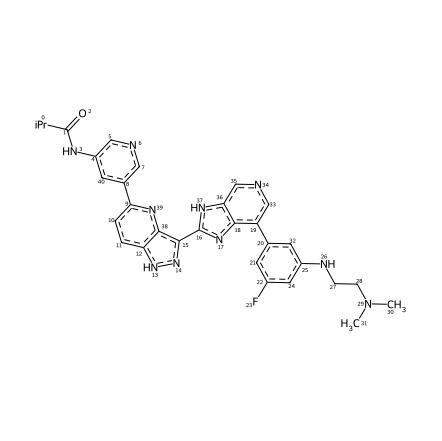 CC(C)C(=O)Nc1cncc(-c2ccc3[nH]nc(-c4nc5c(-c6cc(F)cc(NCCN(C)C)c6)cncc5[nH]4)c3n2)c1